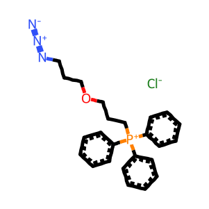 [Cl-].[N-]=[N+]=NCCCOCCC[P+](c1ccccc1)(c1ccccc1)c1ccccc1